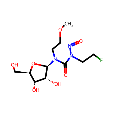 COCCN(C(=O)N(CCF)N=O)[C@@H]1O[C@H](CO)[C@@H](O)[C@H]1O